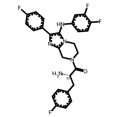 N[C@@H](Cc1ccc(F)cc1)C(=O)N1CCn2c(nc(-c3ccc(F)cc3)c2Nc2ccc(F)c(F)c2)C1